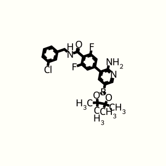 CC1(C)OB(c2cnc(N)c(-c3cc(F)c(C(=O)NCc4cccc(Cl)c4)c(F)c3)c2)OC1(C)C